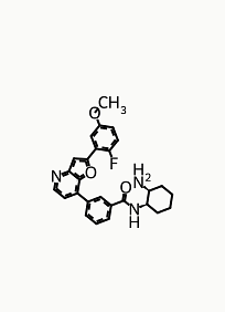 COc1ccc(F)c(-c2cc3nccc(-c4cccc(C(=O)N[C@@H]5CCCC[C@@H]5N)c4)c3o2)c1